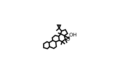 CC1(C2CCC3(C(=O)O)C2(C)C2CCC4C5CCCCC5CCC4C2C(C)(C)C3(C)C)CC1